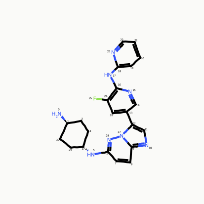 N[C@H]1CC[C@H](Nc2ccc3ncc(-c4cnc(Nc5ccccn5)c(F)c4)n3n2)CC1